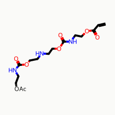 C=CC(=O)OCCNC(=O)OCCNCCOC(=O)NCCOC(C)=O